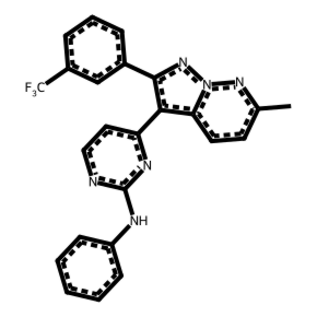 Cc1ccc2c(-c3ccnc(Nc4ccccc4)n3)c(-c3cccc(C(F)(F)F)c3)nn2n1